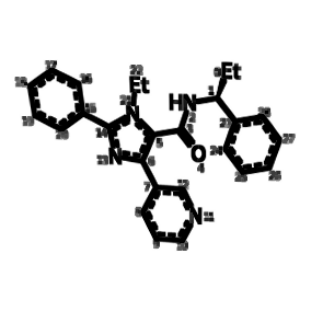 CC[C@H](NC(=O)c1c(-c2cccnc2)nc(-c2ccccc2)n1CC)c1ccccc1